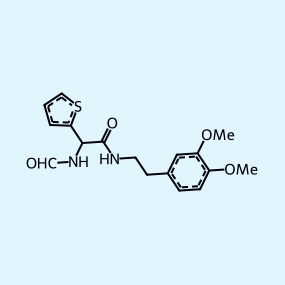 COc1ccc(CCNC(=O)C(NC=O)c2cccs2)cc1OC